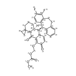 COC(=O)OCOc1c2n(ccc1=O)N([C@@H]1c3ccccc3SCc3c1ccc(F)c3F)[C@@H]1CCCC3(CC3)N1C2=O